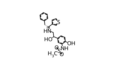 CS(=O)(=O)Nc1cc(C(O)CN[C@H](Cc2ccccc2)c2ccsc2)ccc1O